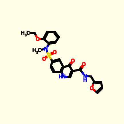 CCOc1ccccc1N(C)S(=O)(=O)c1ccc2[nH]cc(C(=O)NCc3ccco3)c(=O)c2c1